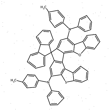 Cc1ccc(N(c2ccccc2)c2cc3c(c4c2sc2ccccc24)-c2c(cc(N(c4ccccc4)c4ccc(C)cc4)c4c2oc2ccccc24)C32c3ccccc3-c3ccccc32)cc1